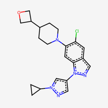 Clc1cc2cnn(-c3cnn(C4CC4)c3)c2cc1N1CCC(C2COC2)CC1